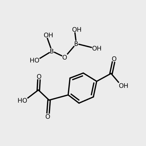 O=C(O)C(=O)c1ccc(C(=O)O)cc1.OB(O)OB(O)O